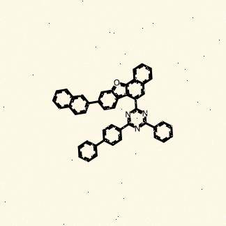 c1ccc(-c2ccc(-c3nc(-c4ccccc4)nc(-c4cc5ccccc5c5oc6cc(-c7ccc8ccccc8c7)ccc6c45)n3)cc2)cc1